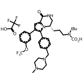 CN1CCN(Cc2ccc(-c3c(-c4cccc(OC(F)(F)F)c4)cc4n3[C@@H](CCCN(C(=O)O)C(C)(C)C)CNC4=O)cc2)CC1.O=C(O)C(F)(F)F